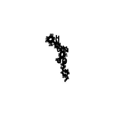 CCN1CCN(CCCOc2cc3ncnc(Oc4cc(-c5ccccc5)[nH]n4)c3cc2OC)CC1